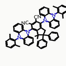 Cc1cccc(C)c1N1c2ccccc2N(c2c(C#N)c(C#N)c(N3c4ccccc4N(c4c(C)cccc4C)c4ccccc43)c3c2CC(c2ccccc2)(c2ccccc2)C3(C)C)c2ccccc21